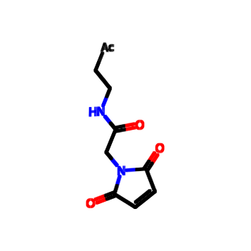 CC(=O)CCNC(=O)CN1C(=O)C=CC1=O